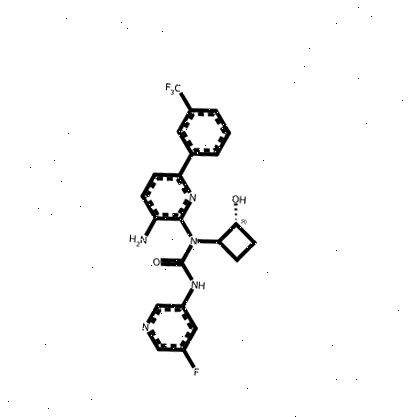 Nc1ccc(-c2cccc(C(F)(F)F)c2)nc1N(C(=O)Nc1cncc(F)c1)C1CC[C@H]1O